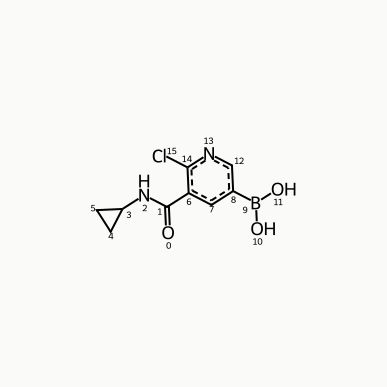 O=C(NC1CC1)c1cc(B(O)O)cnc1Cl